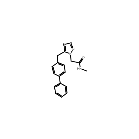 CNC(=O)Cn1nnnc1Cc1ccc(-c2ccccc2)cc1